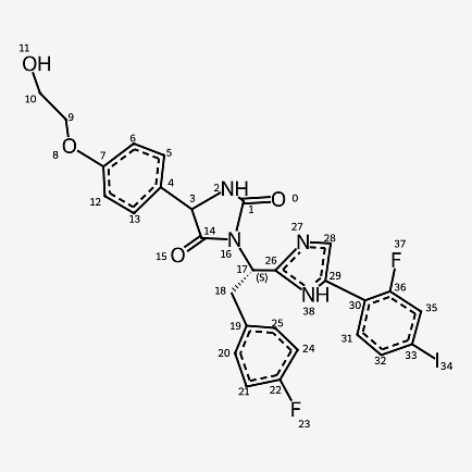 O=C1NC(c2ccc(OCCO)cc2)C(=O)N1[C@@H](Cc1ccc(F)cc1)c1ncc(-c2ccc(I)cc2F)[nH]1